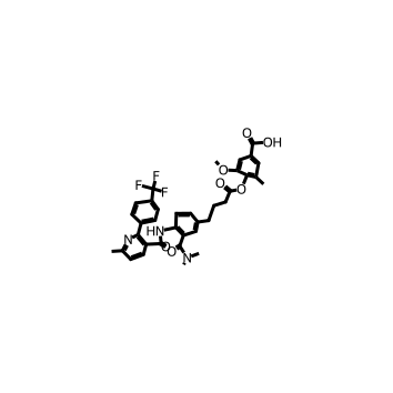 COc1cc(C(=O)O)cc(C)c1OC(=O)CCCc1ccc(NC(=O)c2ccc(C)nc2-c2ccc(C(F)(F)F)cc2)c(C(=O)N(C)C)c1